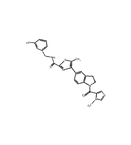 Cc1sc(C(=O)NCc2cccc(O)c2)nc1-c1ccc2c(c1)CCN2C(=O)c1cncn1C